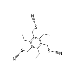 CCc1c(CSC#N)c(CC)c(CSC#N)c(CC)c1CSC#N